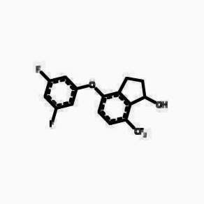 OC1CCc2c(Oc3cc(F)cc(F)c3)ccc(C(F)(F)F)c21